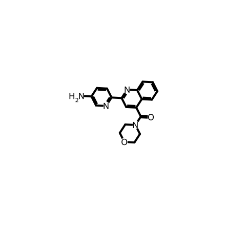 Nc1ccc(-c2cc(C(=O)N3CCOCC3)c3ccccc3n2)nc1